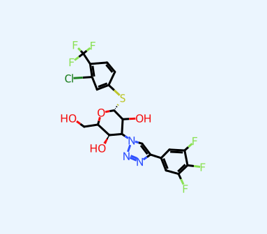 OCC1O[C@H](Sc2ccc(C(F)(F)F)c(Cl)c2)C(O)C(n2cc(-c3cc(F)c(F)c(F)c3)nn2)[C@H]1O